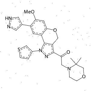 COc1cc2c(cc1-c1cn[nH]c1)-c1c(c(C(=O)CN3CCOCC3(C)C)nn1-c1ccsc1)CO2